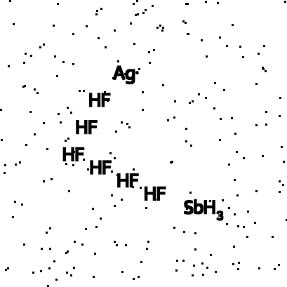 F.F.F.F.F.F.[Ag].[SbH3]